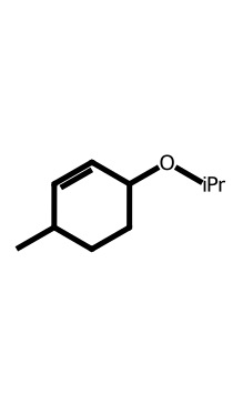 CC1C=CC(OC(C)C)CC1